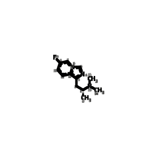 C[C@H](Cc1ncn2cc(F)ccc12)N(C)C